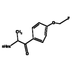 CCCCCCC(C)C(=O)c1ccc(OCF)cc1